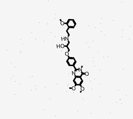 COc1ccccc1CCNCC(O)COc1ccc(-c2nc3cc(OC)c(OC)cc3c(=O)n2C)cc1